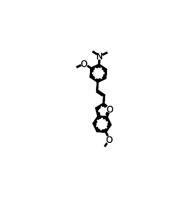 COc1ccc2cc(/C=C/c3ccc(N(C)C)c(OC)c3)oc2c1